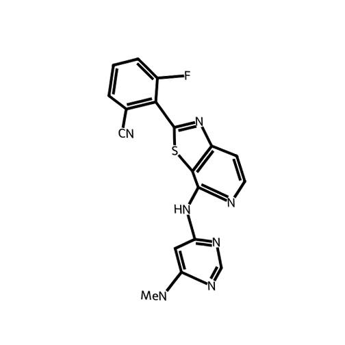 CNc1cc(Nc2nccc3nc(-c4c(F)cccc4C#N)sc23)ncn1